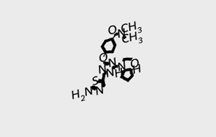 CN(C)C(=O)[C@H]1CC[C@H](Oc2nc(-c3cnc(N)s3)nc(N3CCO[C@H]4CCC[C@@H]43)n2)CC1